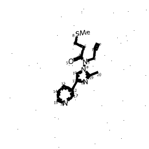 C#CCN(C(=O)CCSC)n1cc(-c2cccnc2)nc1C